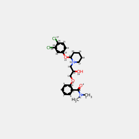 CN(C)C(=O)c1ccccc1OCC(O)CN1CCCCC1Oc1ccc(Cl)c(Cl)c1